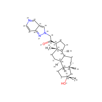 C[C@@]1(O)CC[C@H]2[C@H](CCC3[C@@H]2CC[C@]2(C)[C@@H](C(=O)Cn4cc5cnccc5n4)CC[C@@H]32)C1